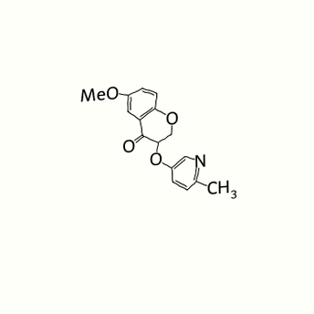 COc1ccc2c(c1)C(=O)C(Oc1ccc(C)nc1)CO2